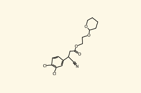 N#CC(CC(=O)OCCOC1CCCCO1)c1ccc(Cl)c(Cl)c1